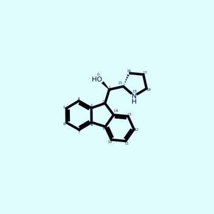 O[C@H](C1c2ccccc2-c2ccccc21)[C@@H]1CCCN1